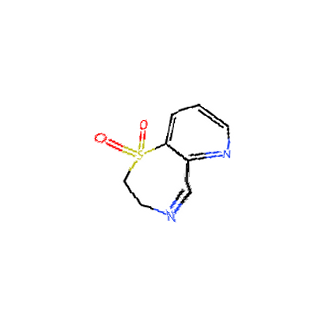 O=S1(=O)CCN=Cc2ncccc21